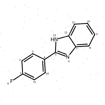 Fc1ccc(-c2nc3c[c]ccc3[nH]2)cc1